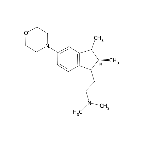 CC1c2cc(N3CCOCC3)ccc2C(CCN(C)C)[C@@H]1C